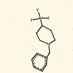 F[B-](F)(F)C1CCN(Cc2ccccc2)CC1